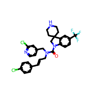 O=C(N(CC=Cc1ccc(Cl)cc1)Cc1ccnc(Cl)c1)N1CC2(CCNCC2)c2cc(C(F)(F)F)ccc21